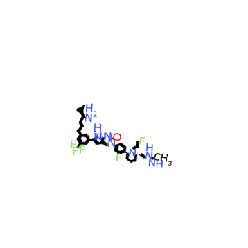 CC(=N)NCC[C@@H]1CCC[C@@H](c2ccc(-n3cc4cc(-c5cc(CCC[C@@H](N)C6CC6)cc(C(F)(F)F)c5)[nH]c4nc3=O)cc2F)N1CCCF